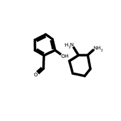 NC1CCCCC1N.O=Cc1ccccc1O